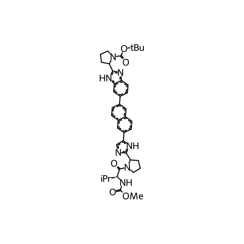 COC(=O)N[C@H](C(=O)N1CCCC1c1ncc(-c2ccc3cc(-c4ccc5nc(C6CCCN6C(=O)OC(C)(C)C)[nH]c5c4)ccc3c2)[nH]1)C(C)C